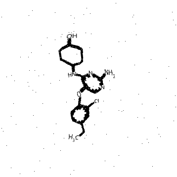 CCc1ccc(Oc2cnc(N)nc2NC2CCC(O)CC2)c(Cl)c1